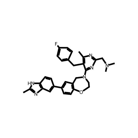 Cc1nc2cc(-c3ccc4c(c3)CN(c3nc(CN(C)C)nc(C)c3Cc3ccc(F)cc3)CCO4)ccc2[nH]1